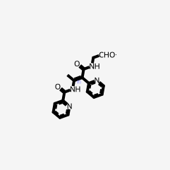 C/C(NC(=O)c1ccccn1)=C(\C(=O)NC[C]=O)c1ccccn1